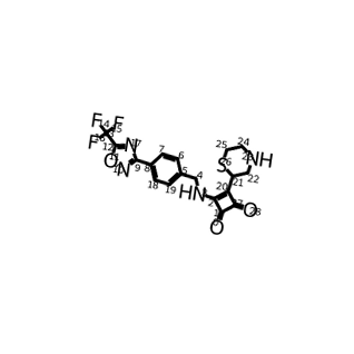 O=c1c(NCc2ccc(-c3noc(C(F)(F)F)n3)cc2)c(C2CNCCS2)c1=O